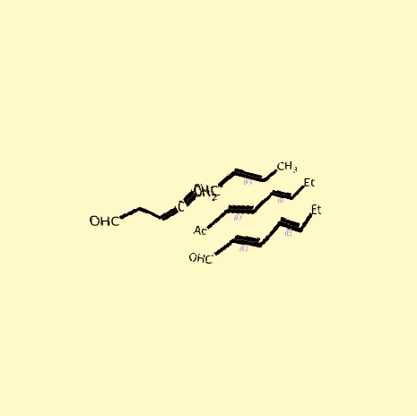 C/C=C/C=O.C=C=CCC=O.CC/C=C/C=C/C(C)=O.CC/C=C/C=C/C=O